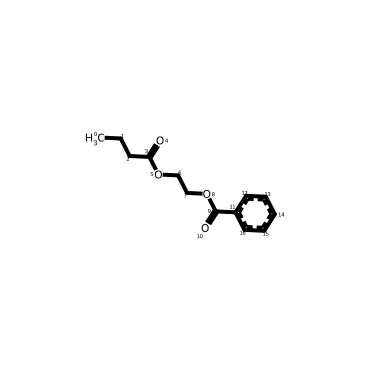 CCCC(=O)OCCOC(=O)c1ccccc1